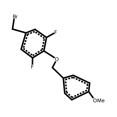 COc1ccc(COc2c(F)cc(CBr)cc2F)cc1